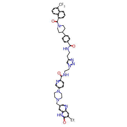 CCc1cc2ncc(CN3CCN(c4ccc(C(=O)NCCn5cc(CCNC(=O)c6ccc(C7CCN(C(=O)c8cccc9c(C(F)(F)F)cccc89)CC7)cc6)nn5)nc4)CC3)cc2[nH]c1=O